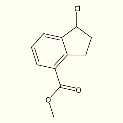 COC(=O)c1cccc2c1CCC2Cl